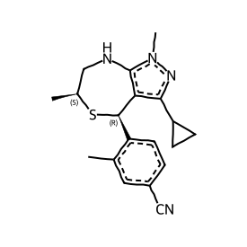 Cc1cc(C#N)ccc1[C@H]1S[C@@H](C)CNc2c1c(C1CC1)nn2C